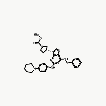 CC(C)(C)OC(=O)N1CC[C@@H](n2cnc3c(NCc4ccccc4)nc(Nc4ccc(N5CCCCC5)cc4)nc32)C1